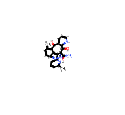 Cc1cccc(C2=c3c4c(C)ccc3=NNC2(C(N)=O)C(=O)c2ncccc2C4=O)n1